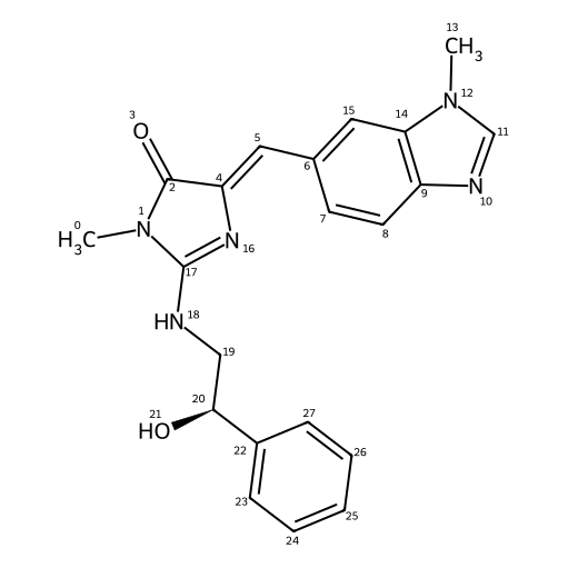 CN1C(=O)/C(=C/c2ccc3ncn(C)c3c2)N=C1NC[C@H](O)c1ccccc1